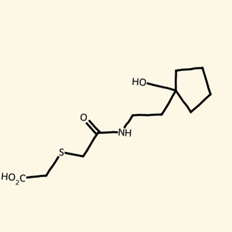 O=C(O)CSCC(=O)NCCC1(O)CCCC1